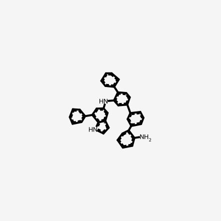 Nc1ccccc1-c1cccc(-c2ccc(-c3ccccc3)c(Nc3cc(-c4ccccc4)c4[nH]ccc4c3)c2)c1